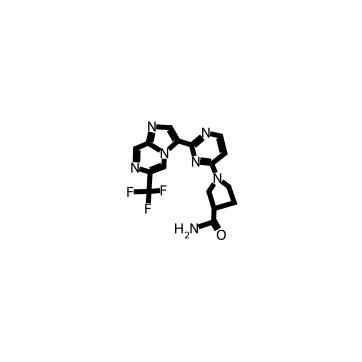 NC(=O)C1CCN(c2ccnc(-c3cnc4cnc(C(F)(F)F)cn34)n2)C1